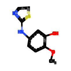 COc1ccc(Nc2nccs2)cc1O